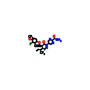 C=C/C(=C(F)\C(C(=O)Nc1cnc(C(N)=O)nc1)=C(/C)Oc1ccc(OC(F)(F)F)c(F)c1OC)C(F)(F)F